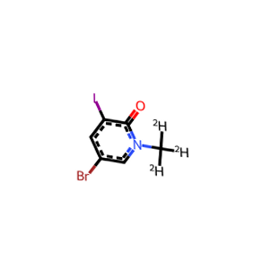 [2H]C([2H])([2H])n1cc(Br)cc(I)c1=O